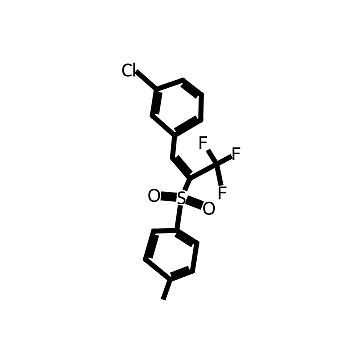 Cc1ccc(S(=O)(=O)/C(=C/c2cccc(Cl)c2)C(F)(F)F)cc1